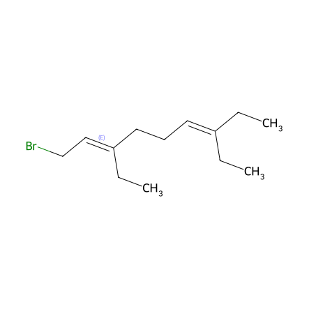 CCC(=CCC/C(=C/CBr)CC)CC